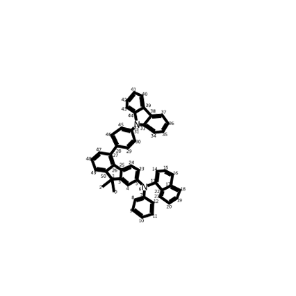 CC1(C)c2cc(N(c3ccccc3)c3cccc4ccccc34)ccc2-c2c(-c3ccc(-n4c5ccccc5c5ccccc54)cc3)cccc21